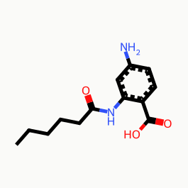 CCCCCC(=O)Nc1cc(N)ccc1C(=O)O